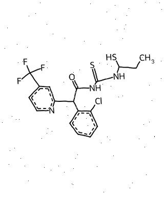 CCC(S)NC(=S)NC(=O)C(c1cc(C(F)(F)F)ccn1)c1ccccc1Cl